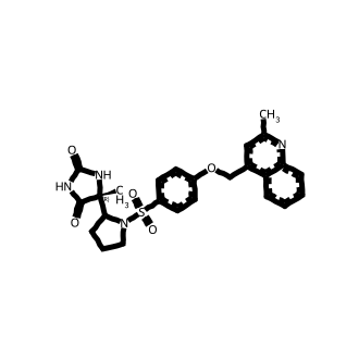 Cc1cc(COc2ccc(S(=O)(=O)N3CCCC3[C@@]3(C)NC(=O)NC3=O)cc2)c2ccccc2n1